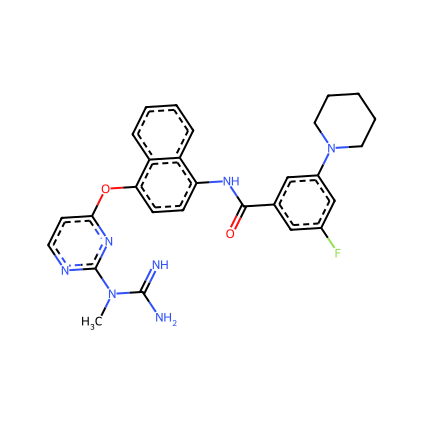 CN(C(=N)N)c1nccc(Oc2ccc(NC(=O)c3cc(F)cc(N4CCCCC4)c3)c3ccccc23)n1